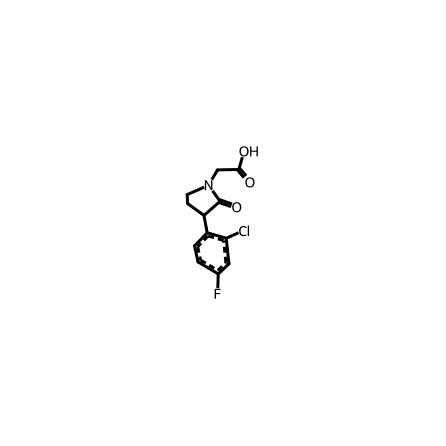 O=C(O)CN1CCC(c2ccc(F)cc2Cl)C1=O